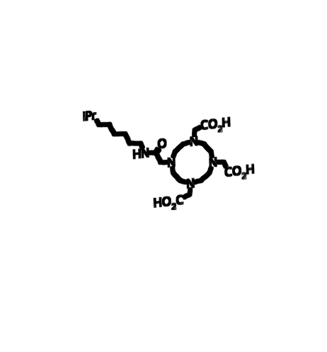 CC(C)CCCCCCNC(=O)CN1CCN(CC(=O)O)CCN(CC(=O)O)CCN(CC(=O)O)CC1